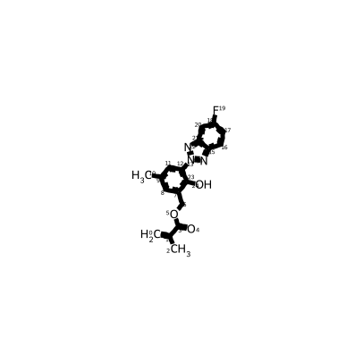 C=C(C)C(=O)OCc1cc(C)cc(-n2nc3ccc(F)cc3n2)c1O